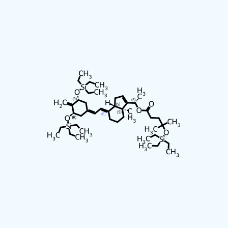 C=C1[C@H](O[Si](CC)(CC)CC)CC(=C/C=C2\CCC[C@]3(C)C([C@H](C)OC(=O)CCC(C)(C)O[Si](CC)(CC)CC)=CC[C@@H]23)C[C@H]1O[Si](CC)(CC)CC